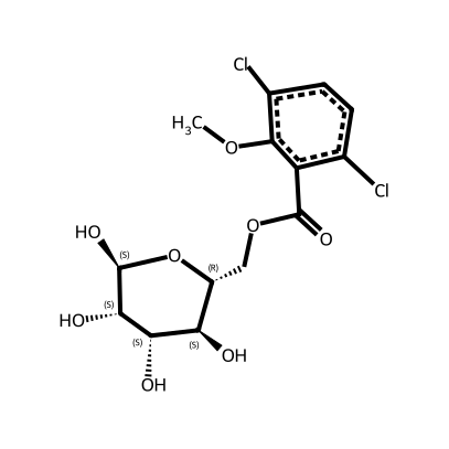 COc1c(Cl)ccc(Cl)c1C(=O)OC[C@H]1O[C@H](O)[C@@H](O)[C@@H](O)[C@@H]1O